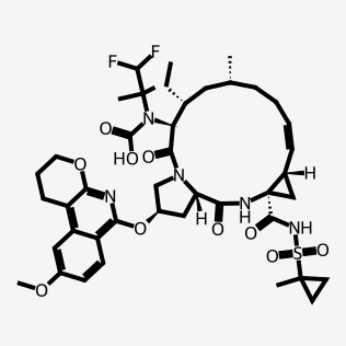 CC[C@@H]1C[C@H](C)CCC=C[C@@H]2C[C@@]2(C(=O)NS(=O)(=O)C2(C)CC2)NC(=O)[C@@H]2C[C@@H](Oc3nc4c(c5cc(OC)ccc35)CCCO4)CN2C(=O)[C@H]1N(C(=O)O)C(C)(C)C(F)F